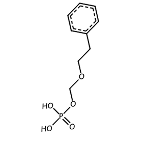 O=P(O)(O)OCOCCc1ccccc1